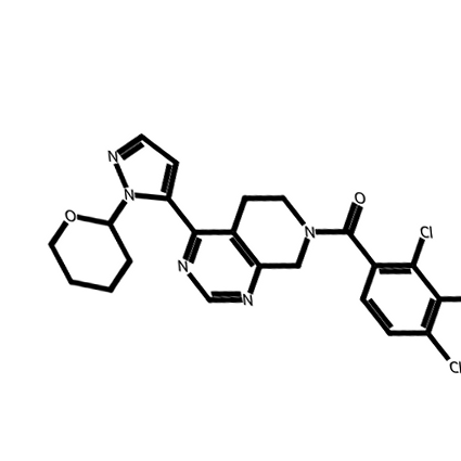 O=C(c1ccc(Cl)c(F)c1Cl)N1CCc2c(ncnc2-c2ccnn2C2CCCCO2)C1